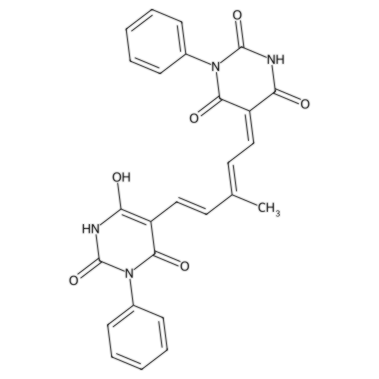 CC(C=Cc1c(O)[nH]c(=O)n(-c2ccccc2)c1=O)=CC=C1C(=O)NC(=O)N(c2ccccc2)C1=O